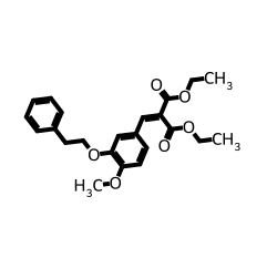 CCOC(=O)C(=Cc1ccc(OC)c(OCCc2ccccc2)c1)C(=O)OCC